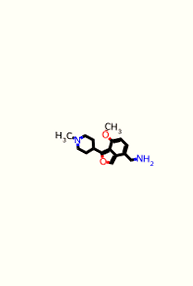 COc1ccc(CN)c2coc(C3CCN(C)CC3)c12